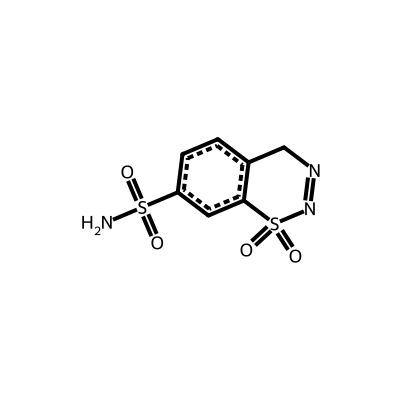 NS(=O)(=O)c1ccc2c(c1)S(=O)(=O)N=NC2